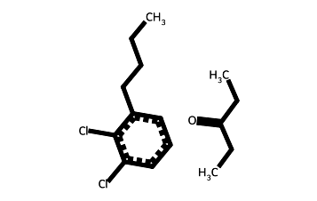 CCC(=O)CC.CCCCc1cccc(Cl)c1Cl